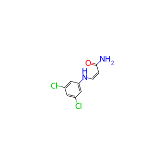 NC(=O)/C=C\Nc1cc(Cl)cc(Cl)c1